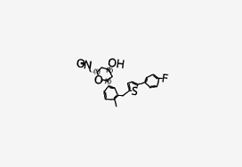 Cc1ccc([C@H]2C[C@@H](O)C[C@@H](CN=O)O2)cc1Cc1ccc(-c2ccc(F)cc2)s1